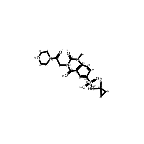 Cn1c(=O)n(CC(=O)N2CCOCC2)c(=O)c2cc(S(=O)(=O)NC3(C)CC3)ccc21